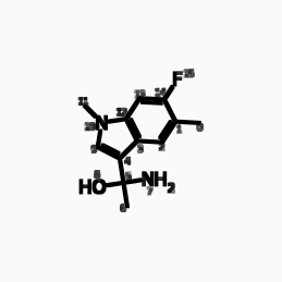 Cc1cc2c(C(C)(N)O)cn(C)c2cc1F